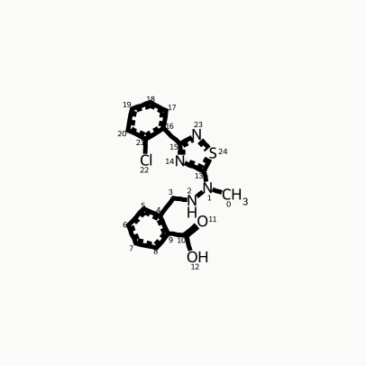 CN(NCc1ccccc1C(=O)O)c1nc(-c2ccccc2Cl)ns1